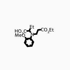 CCOC(=O)CCN(c1ccccc1OC)C(CC)C(=O)O